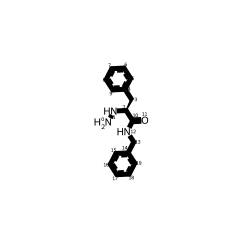 NN[C@@H](Cc1ccccc1)C(=O)NCc1ccccc1